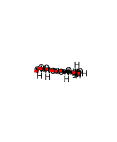 CC(C)[C@@H](C)CNC(=O)CCCC(=O)NCCCOCCOCCOCCCNC(=O)CCCC[C@H]1SC[C@@H]2NC(=O)N[C@@H]21